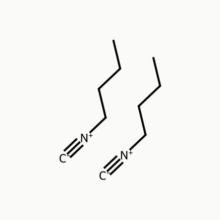 [C-]#[N+]CCCC.[C-]#[N+]CCCC